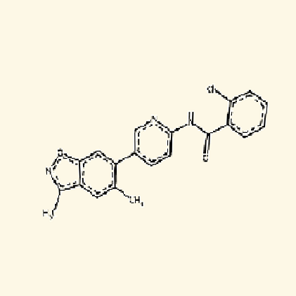 Cc1cc2c(C)noc2cc1-c1ccc(NC(=O)c2ccccc2Cl)nc1